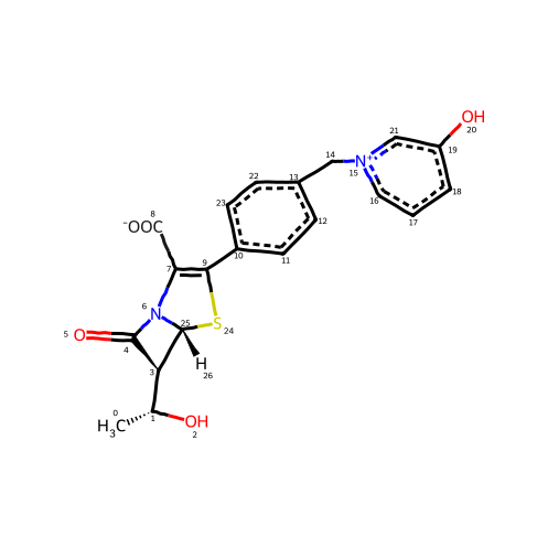 C[C@@H](O)[C@H]1C(=O)N2C(C(=O)[O-])=C(c3ccc(C[n+]4cccc(O)c4)cc3)S[C@H]12